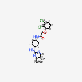 CNc1nc(N[C@H]2CC[C@@H](NC(=O)COc3cccc(Cl)c3Cl)CC2)ncc1C